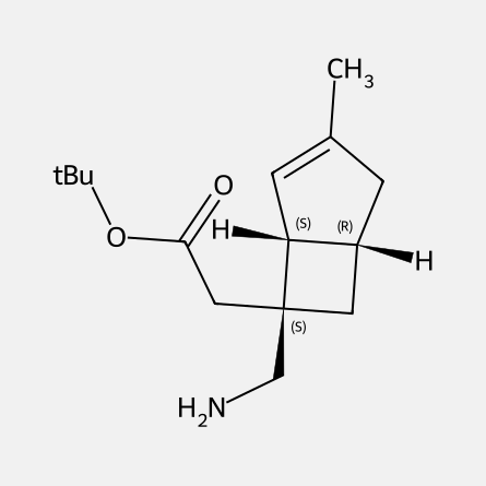 CC1=C[C@@H]2[C@H](C1)C[C@]2(CN)CC(=O)OC(C)(C)C